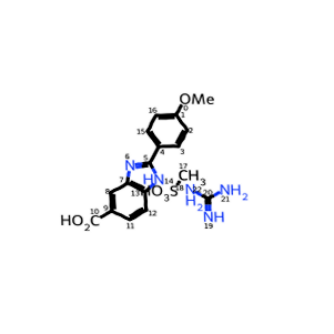 COc1ccc(-c2nc3cc(C(=O)O)ccc3[nH]2)cc1.CS(=O)(=O)O.N=C(N)N